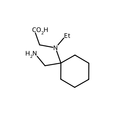 CCN(CC(=O)O)C1(CN)CCCCC1